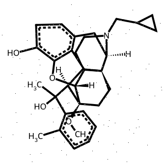 CO[C@]12CC[C@@]3(C[C@@H]1C(C)(O)c1ccccc1C)[C@H]1Cc4ccc(O)c5c4[C@@]3(CCN1CC1CC1)[C@H]2O5